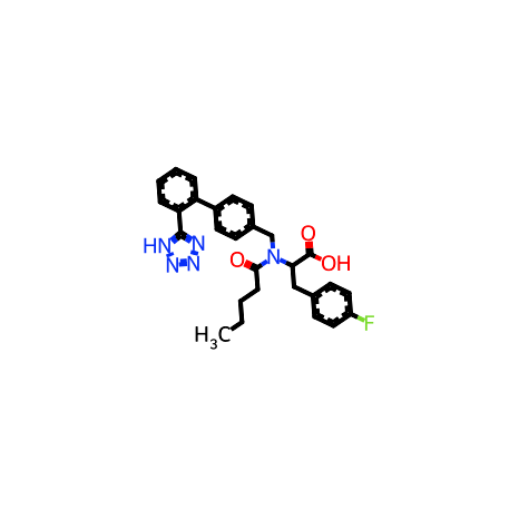 CCCCC(=O)N(Cc1ccc(-c2ccccc2-c2nnn[nH]2)cc1)C(Cc1ccc(F)cc1)C(=O)O